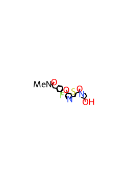 CNC(=O)Cc1ccc(Oc2ccnc3cc(C(=O)N4CCC(O)C4)sc23)c(F)c1